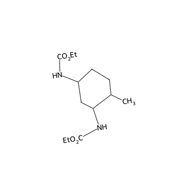 CCOC(=O)NC1CCC(C)C(NC(=O)OCC)C1